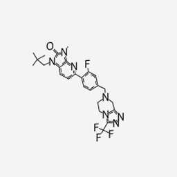 Cn1c(=O)n(CC(C)(C)C)c2ccc(-c3ccc(CN4CCn5c(nnc5C(F)(F)F)C4)cc3F)nc21